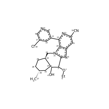 CCOC(CO)c1nc2cc(C#N)nc(-c3cncc(Cl)c3)c2n1C[C@H]1CC[C@H](C)CC1